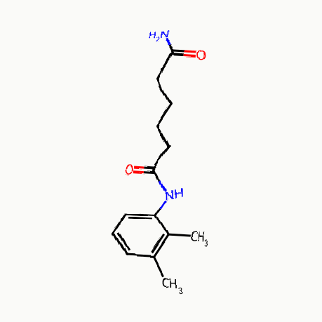 Cc1cccc(NC(=O)CCCCC(N)=O)c1C